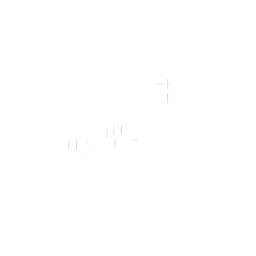 F.F.F.F.F.Oc1ccccc1.S